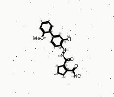 COc1ccccc1-c1ccc(N=NC(=O)C2=C(C(=O)N=O)CCC2)c(Cl)c1